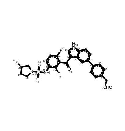 O=CCc1ccc(-c2ccc3[nH]cc(C(=O)c4c(F)ccc(NS(=O)(=O)N5CC[C@@H](F)C5)c4F)c3c2)cc1